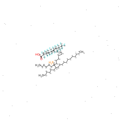 CCCCCCCCCCCCC(CCCCCC)C(P)(CCCCCC)CCCCCC.O=C(O)C(F)(F)C(F)(F)C(F)(F)C(F)(F)C(F)(F)C(F)(F)C(F)(F)C(F)(F)F